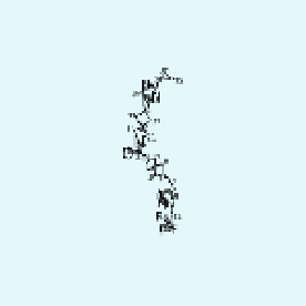 O=C(N1CC2(CC(Cc3cn(CC(F)(F)F)nn3)C2)C1)N1CC2(CC(n3cnc(C4CC4)n3)C2)C1